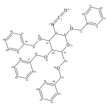 O=C=NC1C(OCc2ccccc2)OC(COCc2ccccc2)C(OCc2ccccc2)C1OCc1ccccc1